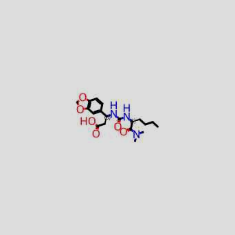 CCCC[C@H](NC(=O)N[C@@H](CC(=O)O)c1ccc2c(c1)OCO2)C(=O)N(C)C